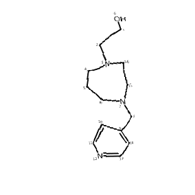 OCCN1CCCN(Cc2ccncc2)CC1